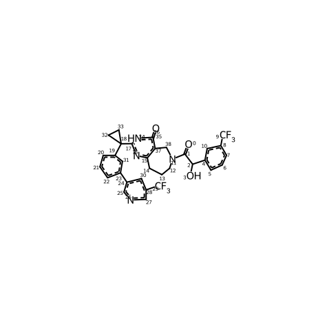 O=C(C(O)c1cccc(C(F)(F)F)c1)N1CCCc2nc(C3(c4cccc(-c5cncc(C(F)(F)F)c5)c4)CC3)[nH]c(=O)c2C1